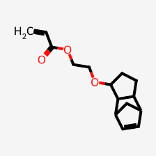 C=CC(=O)OCCOC1CCC2C3C=CC(C3)C12